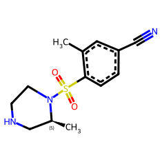 Cc1cc(C#N)ccc1S(=O)(=O)N1CCNC[C@@H]1C